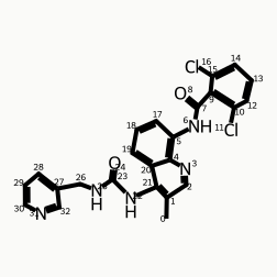 Cc1cnc2c(NC(=O)c3c(Cl)cccc3Cl)cccc2c1NC(=O)NCc1cccnc1